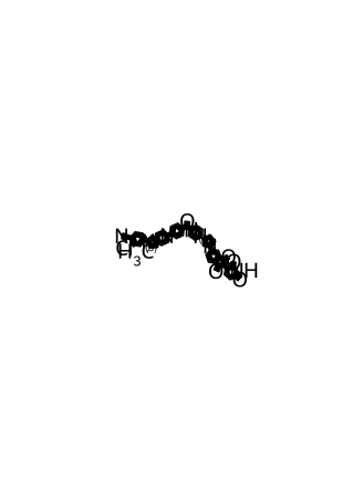 C[C@H]1CC2(CCN(c3ccc(C(=O)N4CCN([C@@H]5CCN(c6ccc7c(c6)C(=O)N(C6CCC(=O)NC6=O)C7=O)C5)CC4)cc3)CC2)CN1c1ccc(C#N)c(Cl)c1